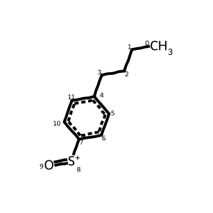 CCCCc1ccc([S+]=O)cc1